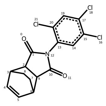 O=C1C2C3C=CC(CC3)C2C(=O)N1c1cc(Cl)c(Cl)cc1Cl